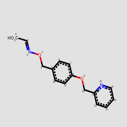 O=C(O)C=NOCc1ccc(OCc2ccccn2)cc1